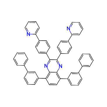 c1ccc(-c2cccc(-c3ccc(-c4cccc(-c5ccccc5)c4)c4nc(-c5ccc(-c6ccccn6)cc5)c(-c5ccc(-c6ccccn6)cc5)nc34)c2)cc1